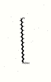 CCCCCCCCCCCCCCCCCCCCCCCCCCCCCCCC(C)C